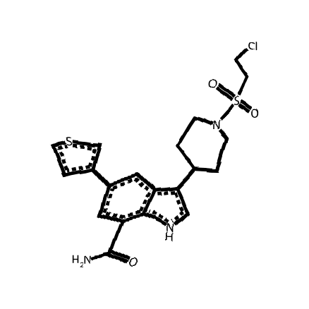 NC(=O)c1cc(-c2ccsc2)cc2c(C3CCN(S(=O)(=O)CCCl)CC3)c[nH]c12